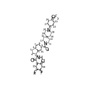 O=C(NC1CCc2ccc(C(=O)N3CCC4(CC3)CCN(c3ccc(C(F)(F)F)cc3)CC4)cc21)c1cc(F)c(F)cc1Cl